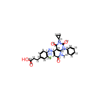 Cn1c(=O)cc(Nc2ccc(CCC(=O)O)cc2F)c2c(=O)n(C3CC3)c(=O)n(-c3ccccc3)c21